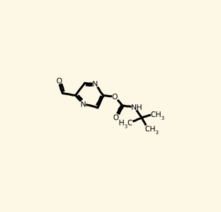 CC(C)(C)NC(=O)Oc1cnc(C=O)cn1